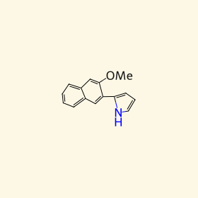 COc1cc2ccccc2cc1-c1ccc[nH]1